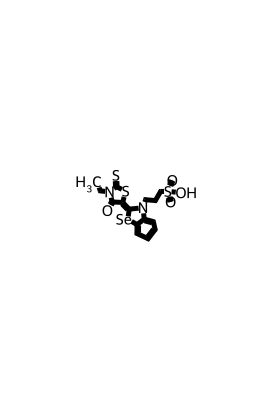 CCN1C(=O)C(=C2[Se]c3ccccc3N2CCCS(=O)(=O)O)SC1=S